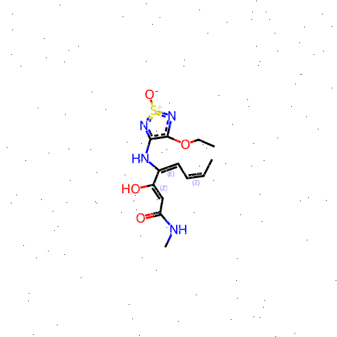 C\C=C/C=C(Nc1n[s+]([O-])nc1OCC)\C(O)=C\C(=O)NC